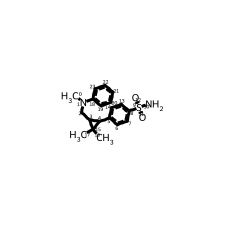 CN(CC1C(c2ccc(S(N)(=O)=O)cc2)C1(C)C)c1ccccc1